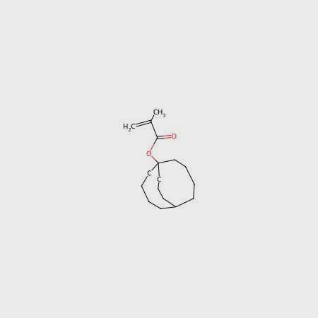 C=C(C)C(=O)OC12CCCCC(CCCC1)CCC2